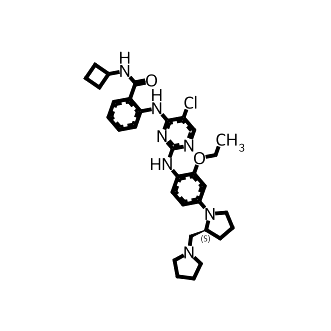 CCOc1cc(N2CCC[C@H]2CN2CCCC2)ccc1Nc1ncc(Cl)c(Nc2ccccc2C(=O)NC2CCC2)n1